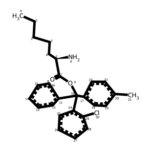 CCCCC[C@@H](N)C(=O)OC(c1ccccc1)(c1ccc(C)cc1)c1ccccc1Cl